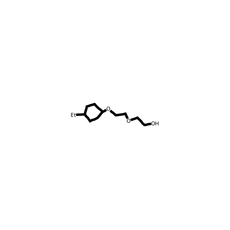 CCC1CCC(OCCOCCO)CC1